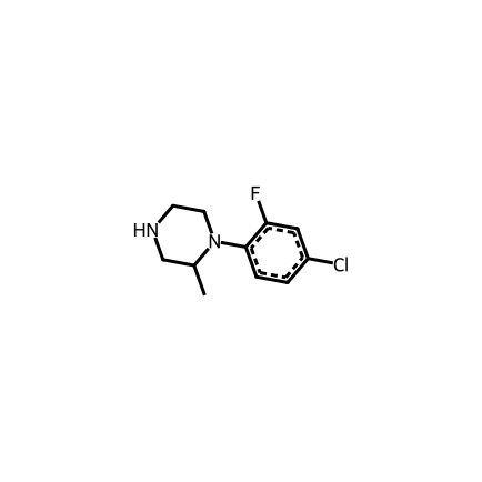 CC1CNCCN1c1ccc(Cl)cc1F